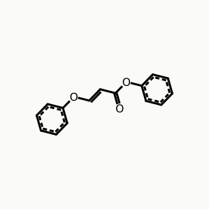 O=C(C=COc1ccccc1)Oc1ccccc1